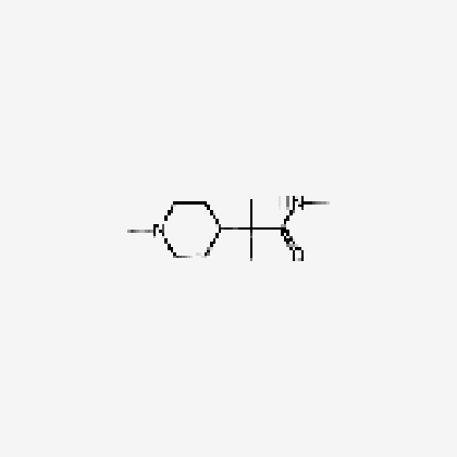 CNC(=O)C(C)(C)C1CCN(C)CC1